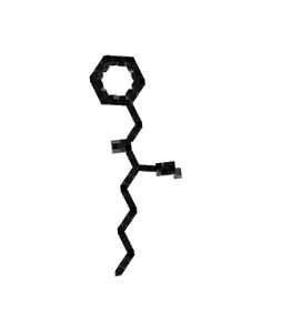 CCCCCC(N)NCc1ccccc1